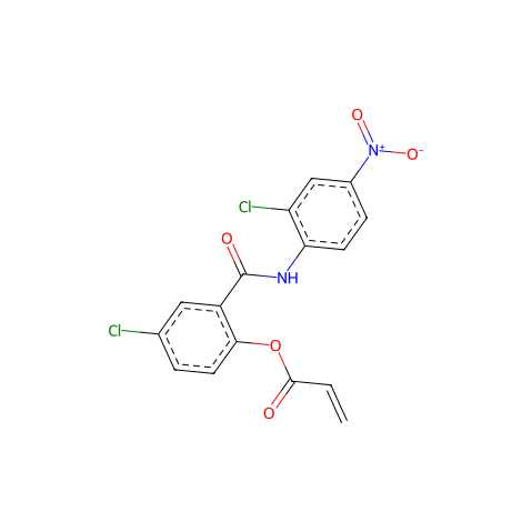 C=CC(=O)Oc1ccc(Cl)cc1C(=O)Nc1ccc([N+](=O)[O-])cc1Cl